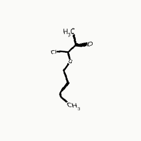 CCCCOC(Cl)C(C)=O